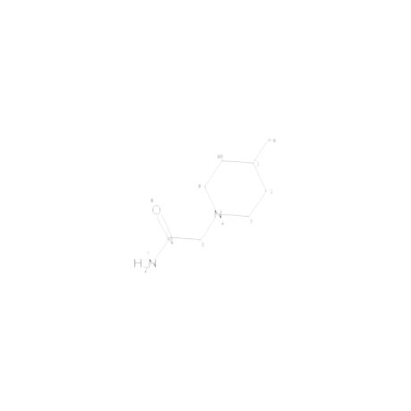 [CH2]C1CCN(CC(N)=O)CC1